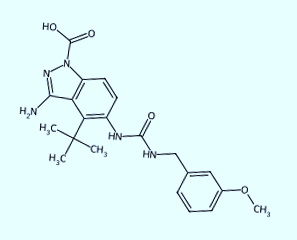 COc1cccc(CNC(=O)Nc2ccc3c(c(N)nn3C(=O)O)c2C(C)(C)C)c1